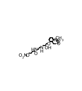 CN1c2cccc(OCC(O)CNCCNC(=O)CCCO[N+](=O)[O-])c2CCS1(=O)=O